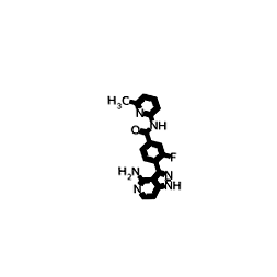 Cc1cccc(NC(=O)c2ccc(-c3n[nH]c4ccnc(N)c34)c(F)c2)n1